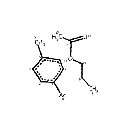 CC(=O)c1ccc(C)cc1.CCCOC(C)=O